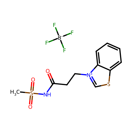 CS(=O)(=O)NC(=O)CC[n+]1csc2ccccc21.F[B-](F)(F)F